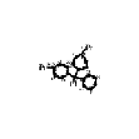 CC(C)c1ccc(C(c2ccccc2)(c2ccc(C(C)C)cc2)C(F)(F)F)cc1